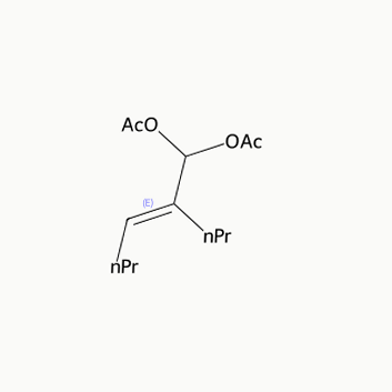 CCC/C=C(\CCC)C(OC(C)=O)OC(C)=O